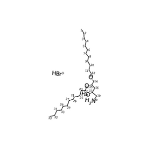 Br.CCCCCCCCCCCCOCC(CC(O)CN)OCCCCCCCCCCCC